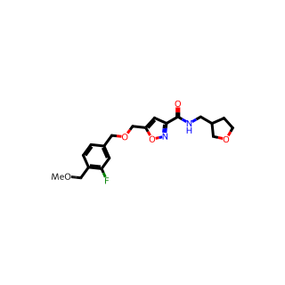 COCc1ccc(COCc2cc(C(=O)NCC3CCOC3)no2)cc1F